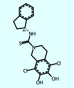 Oc1c(O)c(Cl)c2c(c1Cl)CCN(C(=S)N[C@@H]1CCc3ccccc31)C2